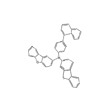 c1ccc2c(-c3ccc(N(c4ccc5c(c4)sc4ccccc45)c4ccc5oc6ccccc6c5c4)cc3)cccc2c1